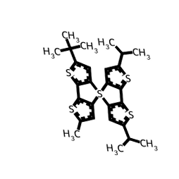 Cc1cc2c(s1)-c1sc(C(C)(C)C)cc1S21c2cc(C(C)C)sc2-c2sc(C(C)C)cc21